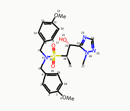 COc1ccc(CN(Cc2ccc(OC)cc2)S(=O)(=O)[C@H](C)[C@H](O)c2ncnn2C)cc1